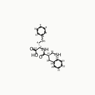 O=C(N[C@@H](CSc1ccccc1)C(=O)O)[C@@H](CS)Cc1ccccc1